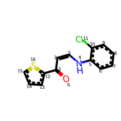 O=C(/C=C\Nc1ccccc1Cl)c1cccs1